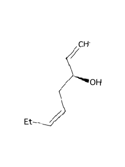 [CH]=C[C@@H](O)C/C=C\CC